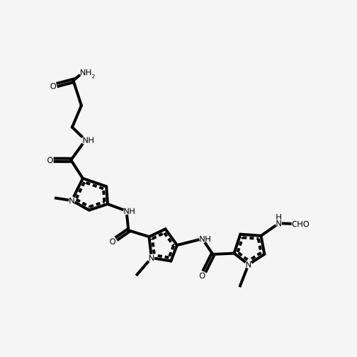 Cn1cc(NC(=O)c2cc(NC(=O)c3cc(NC=O)cn3C)cn2C)cc1C(=O)NCCC(N)=O